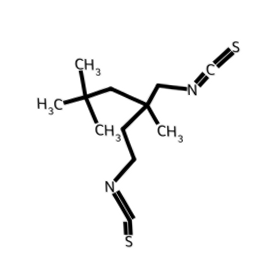 CC(C)(C)CC(C)(CCN=C=S)CN=C=S